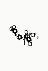 O=c1cc(NC2CCN(Cc3ccc4c(c3)OCO4)CC2)c2cc(Cl)ccc2n1CC(F)(F)F